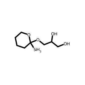 OCC(O)COC1([SiH3])CCCCO1